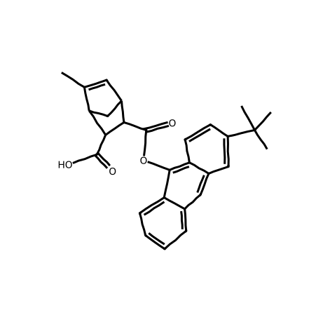 CC1=CC2CC1C(C(=O)O)C2C(=O)Oc1c2ccccc2cc2cc(C(C)(C)C)ccc12